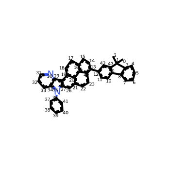 CC1(C)c2ccccc2-c2ccc(-c3ccc4ccc5c6c(ccc3c46)cc3c5c4ncccc4n3-c3ccccc3)cc21